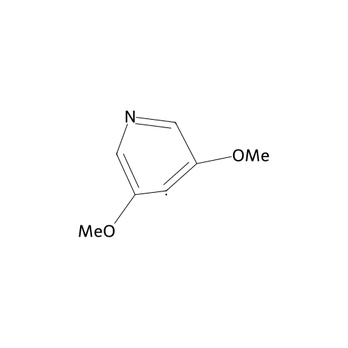 COc1[c]c(OC)cnc1